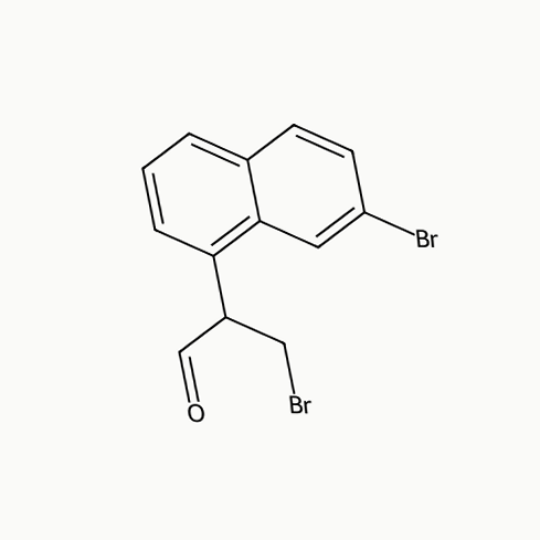 O=CC(CBr)c1cccc2ccc(Br)cc12